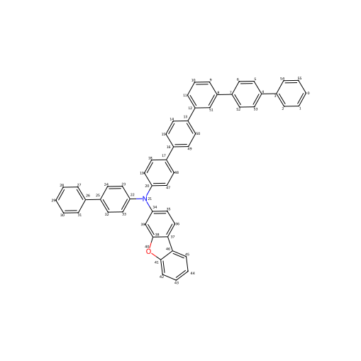 c1ccc(-c2ccc(-c3cccc(-c4ccc(-c5ccc(N(c6ccc(-c7ccccc7)cc6)c6ccc7c(c6)oc6ccccc67)cc5)cc4)c3)cc2)cc1